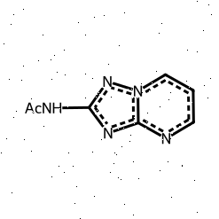 CC(=O)Nc1nc2ncccn2n1